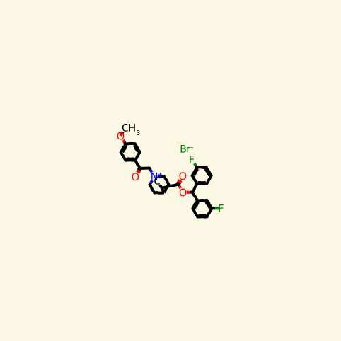 COc1ccc(C(=O)C[N+]23CCC(CC2)C(C(=O)OC(c2cccc(F)c2)c2cccc(F)c2)C3)cc1.[Br-]